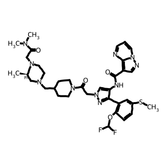 CSc1ccc(OC(F)F)c(-c2nn(CC(=O)N3CCC(CN4CCN(CC(=O)N(C)C)[C@H](C)C4)CC3)cc2NC(=O)c2cnn3cccnc23)c1